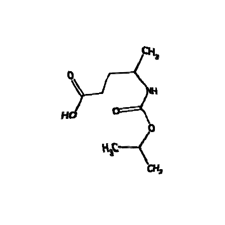 CC(CCC(=O)O)NC(=O)OC(C)C